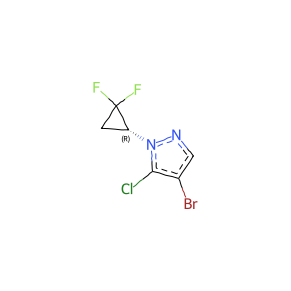 FC1(F)C[C@H]1n1ncc(Br)c1Cl